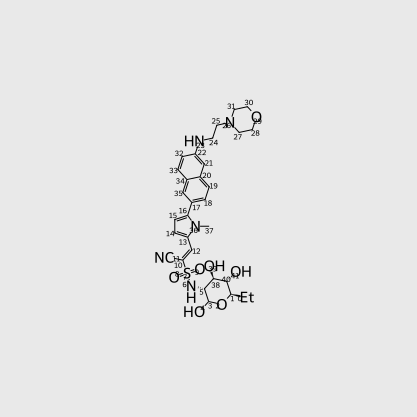 CC[C@H]1OC(O)[C@H](NS(=O)(=O)/C(C#N)=C/c2ccc(-c3ccc4cc(NCCN5CCOCC5)ccc4c3)n2C)[C@@H](O)[C@@H]1O